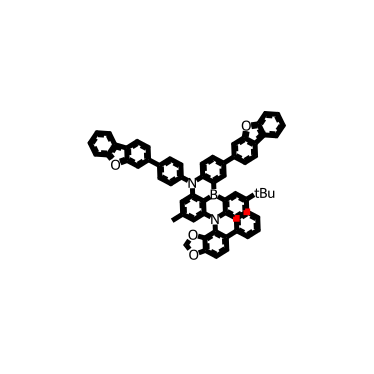 Cc1cc2c3c(c1)N(c1c(-c4ccccc4)ccc4c1OCO4)c1ccc(C(C)(C)C)cc1B3c1cc(-c3ccc4c(c3)oc3ccccc34)ccc1N2c1ccc(-c2ccc3c(c2)oc2ccccc23)cc1